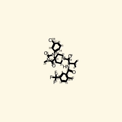 CC(C)C(NC(=O)c1cc(C(F)(F)F)ccc1F)C(=O)N1CCC2(CC1)C(=O)N(C)C(=O)N2c1cccc(Cl)c1